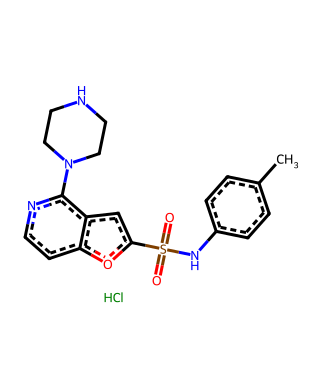 Cc1ccc(NS(=O)(=O)c2cc3c(N4CCNCC4)nccc3o2)cc1.Cl